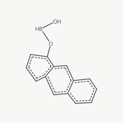 OBOc1cccc2cc3ccccc3cc12